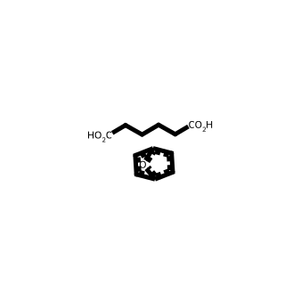 O=C(O)CCCCC(=O)O.c1cc2ccc1o2